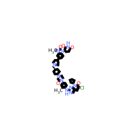 Cc1cc(N2CCN([C@H]3CC[C@H](CN4CCC(c5ccc6c(c5)n(C)c(=O)n6C5CCC(=O)NC5=O)CC4)CC3)CC2=O)ccc1Nc1ncc2cc(Cl)c(=O)n(C3CCCC3)c2n1